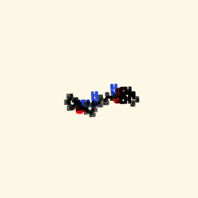 CC(C)(C)S(=O)(=O)NCCCCCNc1cccc(C(=O)NC2CCCCC2)c1